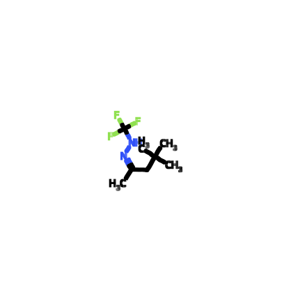 CC(CC(C)(C)C)=NNC(F)(F)F